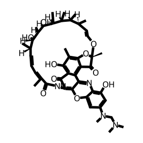 C/C1=C/C=C/[C@H](C)[C@H](O)[C@@H](C)[C@@H](O)[C@@H](C)[C@H](C)[C@H](C)[C@@H](C)/C=C/O[C@@]2(C)Oc3c(C)c(O)c4c(=O)c(c5oc6cc(N(C)CN(C)C)cc(O)c6nc-5c4c3C2=O)NC1=O